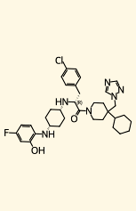 O=C([C@@H](Cc1ccc(Cl)cc1)N[C@H]1CC[C@@H](Nc2ccc(F)cc2O)CC1)N1CCC(Cn2cncn2)(C2CCCCC2)CC1